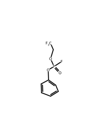 O=P(F)(OCC(F)(F)F)Oc1ccccc1